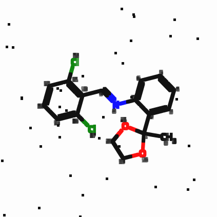 CC1(c2ccccc2N=Cc2c(Cl)cccc2Cl)OCCO1